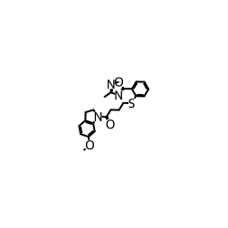 COc1ccc2c(c1)N(C(=O)CCCSc1ccccc1-c1nc(C)no1)CC2